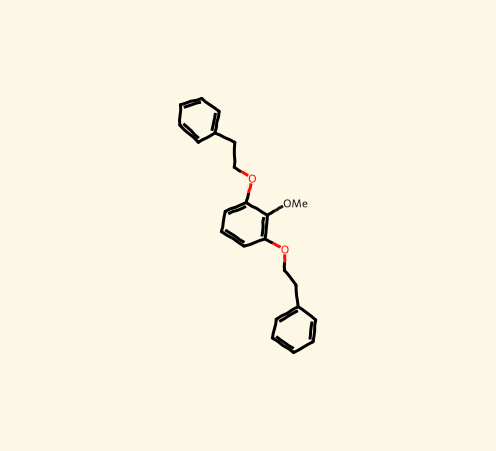 COc1c(OCCc2ccccc2)cccc1OCCc1ccccc1